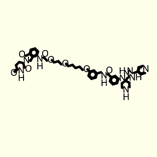 O=C1CCC(N2Cc3c(NC(=O)COCCCOCCCCCOc4cccc(CNC(=O)c5cccc(NC6(c7nnc(-c8ccncc8)[nH]7)CCNCC6)c5)c4)cccc3C2=O)C(=O)N1